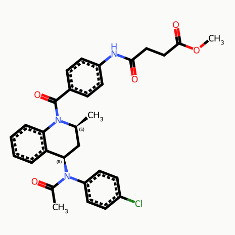 COC(=O)CCC(=O)Nc1ccc(C(=O)N2c3ccccc3[C@H](N(C(C)=O)c3ccc(Cl)cc3)C[C@@H]2C)cc1